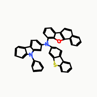 c1ccc(-n2c3ccccc3c3ccc(N(c4ccc5c(c4)sc4ccccc45)c4cccc5c4oc4c6ccccc6ccc54)cc32)cc1